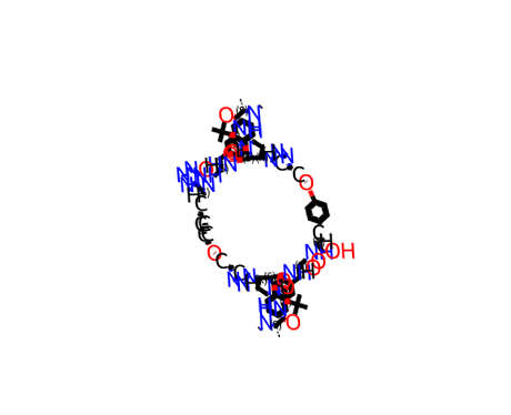 CN[C@@H](C)C(=O)N[C@H](C(=O)N1CC[C@@H]2[C@H]1C(=O)N[C@@H](Cc1ccc3ccccc3c1)C(=O)N[C@H](C(=O)O)Cc1ccc(cc1)OCc1cn(nn1)[C@@H]1CCN(C(=O)[C@@H](NC(=O)[C@H](C)NC)C(C)(C)C)[C@@H]1C(=O)N[C@@H](Cc1ccc3ccccc3c1)C(=O)N[C@H](c1nnn[nH]1)Cc1ccc(cc1)OCc1cn2nn1)C(C)(C)C